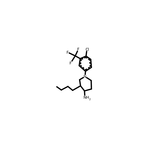 CCCCC1CN(c2ccc(Cl)c(C(F)(F)F)c2)CCC1N